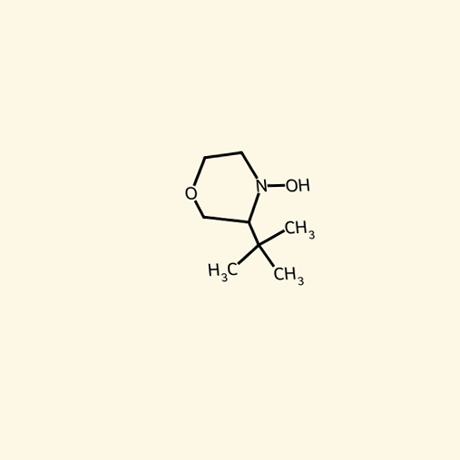 CC(C)(C)C1COCCN1O